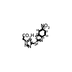 O=C(O)Cn1nnc(Sc2nc3ccc([N+](=O)[O-])cc3s2)n1